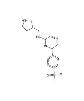 CS(=O)(=O)c1ccc(C2CN=CC(NCC3CCNS3)N2)cc1